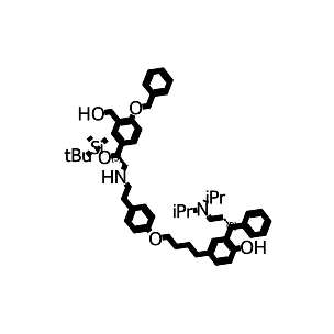 CC(C)N(CC[C@H](c1ccccc1)c1cc(CCCCOc2ccc(CCNC[C@@H](O[Si](C)(C)C(C)(C)C)c3ccc(OCc4ccccc4)c(CO)c3)cc2)ccc1O)C(C)C